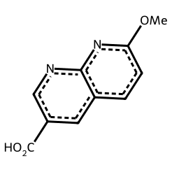 COc1ccc2cc(C(=O)O)cnc2n1